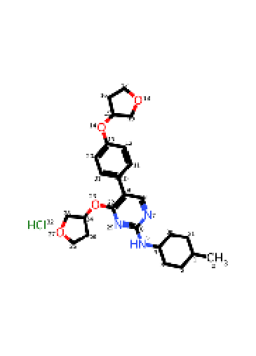 CC1CCC(Nc2ncc(-c3ccc(OC4CCOC4)cc3)c(OC3CCOC3)n2)CC1.Cl